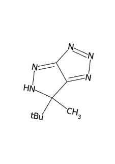 CC(C)(C)C1(C)NN=C2N=NN=C21